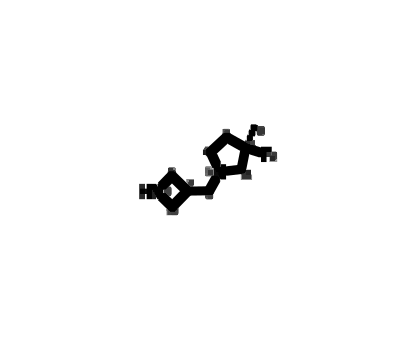 C[C@@]1(F)CCN(CC2CNC2)C1